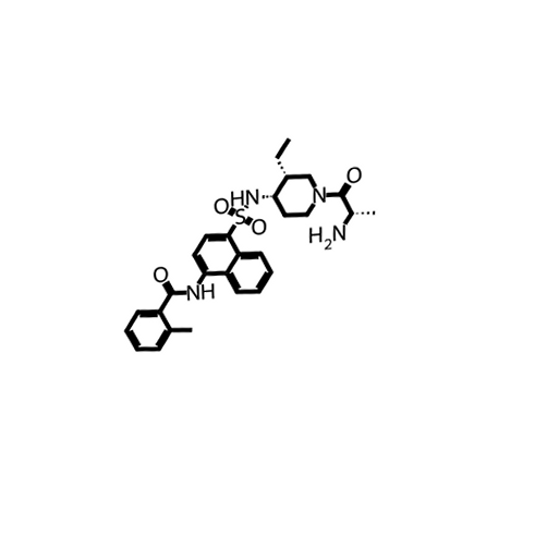 CC[C@@H]1CN(C(=O)[C@H](C)N)CC[C@@H]1NS(=O)(=O)c1ccc(NC(=O)c2ccccc2C)c2ccccc12